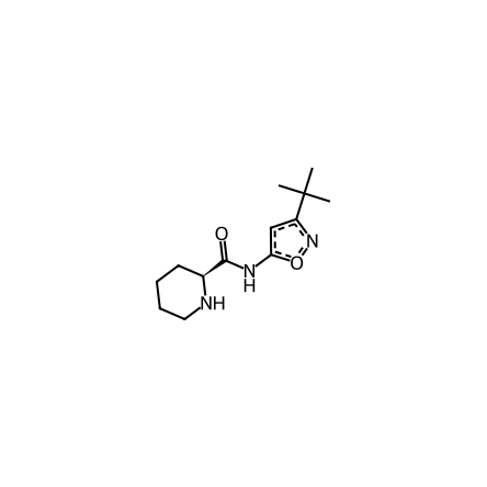 CC(C)(C)c1cc(NC(=O)[C@@H]2CCCCN2)on1